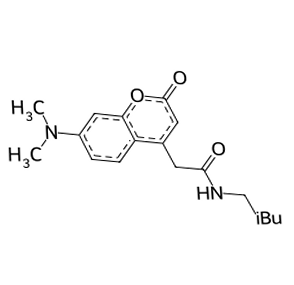 CCC(C)CNC(=O)Cc1cc(=O)oc2cc(N(C)C)ccc12